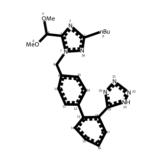 CCCCc1nc(C(OC)OC)n(Cc2ccc(-c3ccccc3-c3nnn[nH]3)cc2)n1